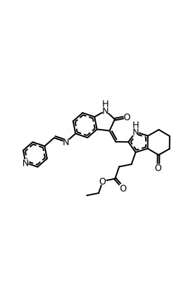 CCOC(=O)CCc1c(C=C2C(=O)Nc3ccc(N=Cc4ccncc4)cc32)[nH]c2c1C(=O)CCC2